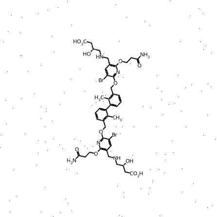 Cc1c(COc2nc(OCCC(N)=O)c(CNC[C@@H](O)CC(=O)O)cc2Br)cccc1-c1cccc(COc2nc(OCCC(N)=O)c(CNC[C@@H](O)CC(=O)O)cc2Br)c1C